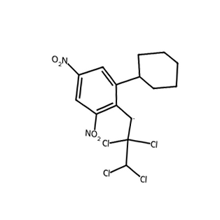 O=[N+]([O-])c1cc(C2CCCCC2)c([CH]C(Cl)(Cl)C(Cl)Cl)c([N+](=O)[O-])c1